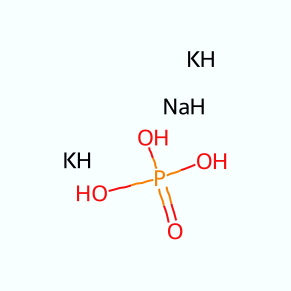 O=P(O)(O)O.[KH].[KH].[NaH]